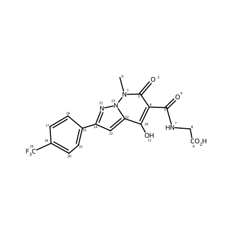 Cn1c(=O)c(C(=O)NCC(=O)O)c(O)c2cc(-c3ccc(C(F)(F)F)cc3)nn21